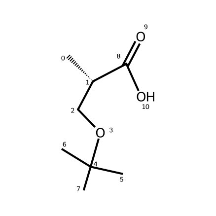 C[C@@H](COC(C)(C)C)C(=O)O